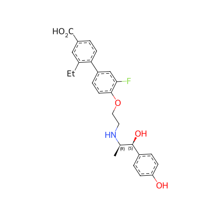 CCc1cc(C(=O)O)ccc1-c1ccc(OCCN[C@H](C)[C@@H](O)c2ccc(O)cc2)c(F)c1